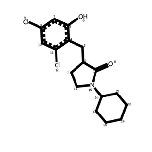 O=C1C(Cc2c(O)cc(Cl)cc2Cl)CCN1C1CCCCC1